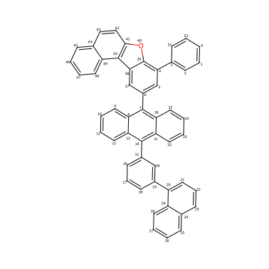 c1ccc(-c2cc(-c3c4ccccc4c(-c4cccc(-c5cccc6ccccc56)c4)c4ccccc34)cc3c2oc2ccc4ccccc4c23)cc1